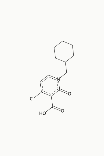 O=C(O)c1c(Cl)ccn(CC2CCCCC2)c1=O